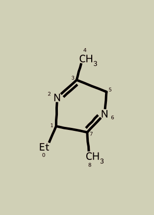 CCC1N=C(C)CN=C1C